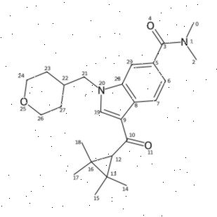 CN(C)C(=O)c1ccc2c(C(=O)C3C(C)(C)C3(C)C)cn(CC3CCOCC3)c2c1